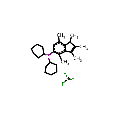 CC1=C(C)C(C)c2c(C)cc(P(C3CCCCC3)C3CCCCC3)c(C)c21.FB(F)F